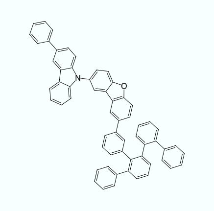 c1ccc(-c2ccc3c(c2)c2ccccc2n3-c2ccc3oc4ccc(-c5cccc(-c6c(-c7ccccc7)cccc6-c6ccccc6-c6ccccc6)c5)cc4c3c2)cc1